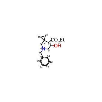 CCOC(=O)CC1(CN(CCO)Cc2ccccc2)CC1